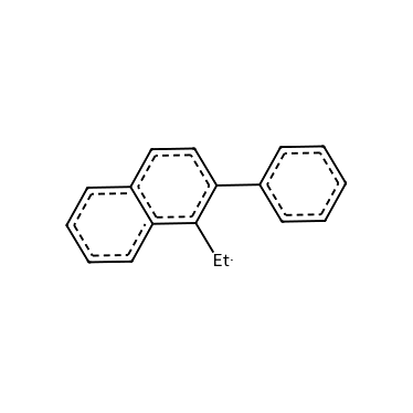 C[CH]c1c(-c2ccccc2)ccc2ccccc12